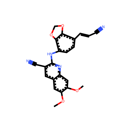 COc1cc2cc(C#N)c(Nc3ccc(C=CC#N)c4c3OCO4)nc2cc1OC